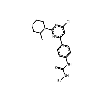 CCNC(=O)Nc1ccc(-c2cc(Cl)nc(N3CCOCC3C)n2)cc1